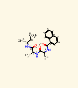 C[C@H](NC(=O)[C@@H](NC(=O)c1cccc2ccccc12)C(C)(C)C)C(=O)N[C@H](C=O)CC(=O)O